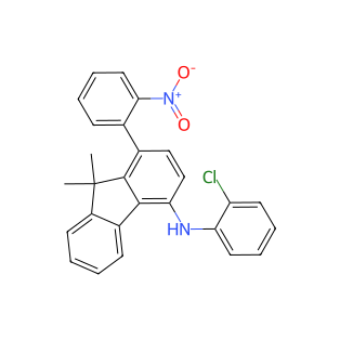 CC1(C)c2ccccc2-c2c(Nc3ccccc3Cl)ccc(-c3ccccc3[N+](=O)[O-])c21